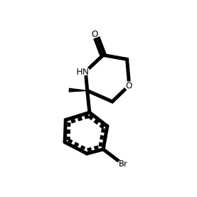 C[C@]1(c2cccc(Br)c2)COCC(=O)N1